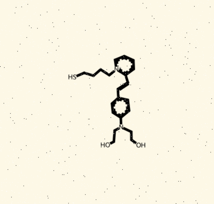 OCCN(CCO)c1ccc(/C=C/c2cccc[n+]2CCCCS)cc1